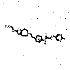 Cc1ncc(OCC(=O)NC23CCC(CCN4CCc5nc(OCC(F)(F)F)sc5CC4)(CC2)OC3)cn1